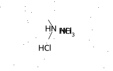 CNC.Cl.Cl.N